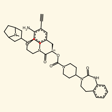 C#Cc1cc(C[C@@H](OC(=O)N2CCC(N3CCc4ccccc4NC3=O)CC2)C(=O)N2CCN(C3CC4CCC(C3)N4C)CC2)cc(Cl)c1N